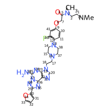 CNCCN(C)C(=O)COc1ccc(N2CCN(CCn3cnc4c3nc(N)n3nc(-c5ccco5)nc43)CC2)c(F)c1